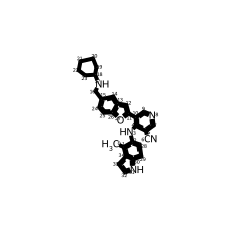 Cc1c(Nc2c(C#N)cncc2-c2cc3cc(CNC4CCCCC4)ccc3o2)ccc2[nH]ccc12